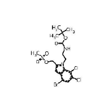 CC(C)(C)OC(=O)NCCn1c(COS(C)(=O)=O)cc2c(Br)cc(Cl)c(Cl)c21